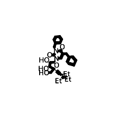 CC[Si](C#C[C@@]1(CO)O[C@H](n2cc(Cc3ccccc3)c(=O)n(Cc3ccccc3)c2=O)C(O)C1O)(CC)CC